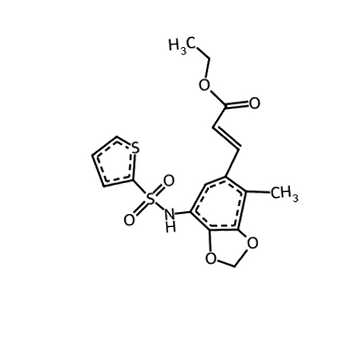 CCOC(=O)/C=C/c1cc(NS(=O)(=O)c2cccs2)c2c(c1C)OCO2